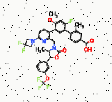 COc1cc(F)c(-c2ccc(C(=O)O)cc2C)cc1-c1ccc(N2CC(F)(F)C2)nc1CN1C(=O)OC(c2cccc(OC(F)(F)F)c2)C1C